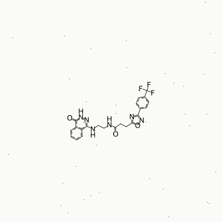 O=C(CCc1nc(-c2ccc(C(F)(F)F)cc2)no1)NCCNc1n[nH]c(=O)c2ccccc12